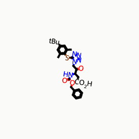 Cc1cc(C(C)(C)C)cc(C)c1Sc1nnnn1CC(=O)C(CC(=O)O)NC(=O)OCc1ccccc1